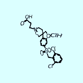 Cl.O=C(O)CCN1CCC2(CC1)COc1cc(S(=O)(=O)Cc3c(Cl)cccc3Cl)ccc12